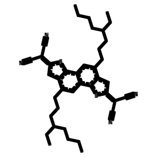 CCCCC(CC)CCCc1cc2c(cc(CCCC(CC)CCCC)c3cc(=C(C#N)C#N)sc32)c2sc(=C(C#N)C#N)cc12